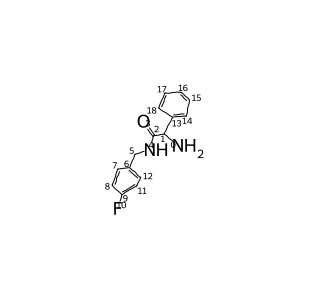 NC(C(=O)NCc1ccc(F)cc1)c1ccccc1